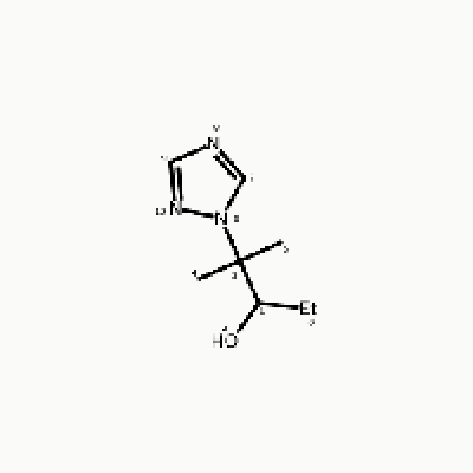 CCC(O)C(C)(C)n1cncn1